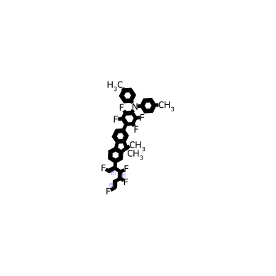 Cc1ccc(N(C2=C(F)C(F)=C(c3ccc4c(c3)C(C)(C)c3cc(C(=C\F)/C(F)=C(F)\C=C\F)ccc3-4)C(F)C2F)c2ccc(C)cc2)cc1